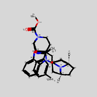 CSc1cccc(C2(CCN3[C@@H]4CC[C@H]3CC(n3c(C)nc5ccccc53)C4)CCN(C(=O)OC(C)(C)C)CC2)c1